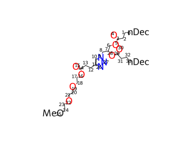 CCCCCCCCCCCCC(=O)OCC(Cn1cc(CCC(=O)OCCOCCOCCOC)nn1)OC(=O)CCCCCCCCCCCC